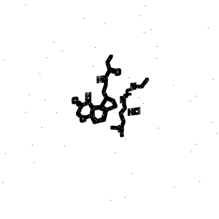 CCC(=O)NCCC1CCc2ccc3c(c21)NC(=O)CO3.CCN=C=NCCCN(C)C.Cl